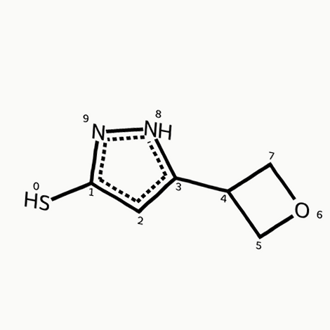 Sc1cc(C2COC2)[nH]n1